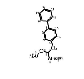 CCCCCCCC(OCCCC)Oc1ccc(-c2ccccc2)cc1